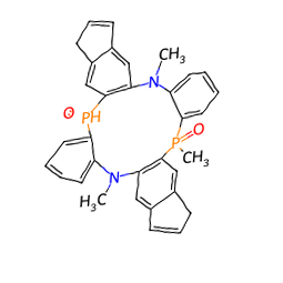 CN1c2cc3c(cc2[PH](=O)c2ccccc2N(C)c2cc4c(cc2P(C)(=O)c2ccccc21)CC=C4)CC=C3